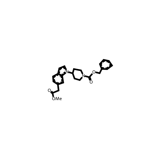 COC(=O)Cc1ccc2ccn(C3CCN(C(=O)OCc4ccccc4)CC3)c2c1